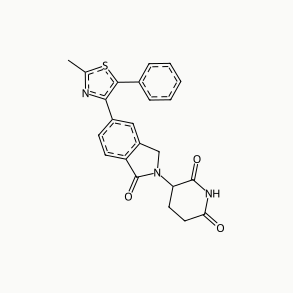 Cc1nc(-c2ccc3c(c2)CN(C2CCC(=O)NC2=O)C3=O)c(-c2ccccc2)s1